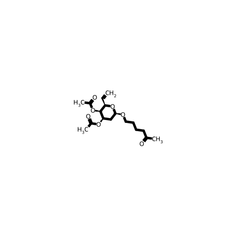 C=C[C@H]1O[C@@H](OCCCCC(C)=O)C[C@@H](OC(C)=O)[C@H]1OC(C)=O